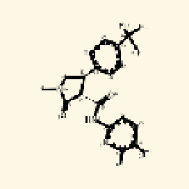 Cc1nc(NC(=O)[C@@H]2C(=O)N(C)C[C@H]2c2ccc(C(F)(F)F)cc2)ccc1F